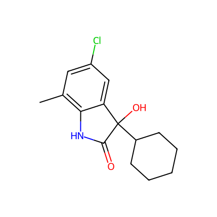 Cc1cc(Cl)cc2c1NC(=O)C2(O)C1CCCCC1